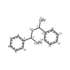 CCCC(SC(CCC)c1ccccc1)c1ccccc1